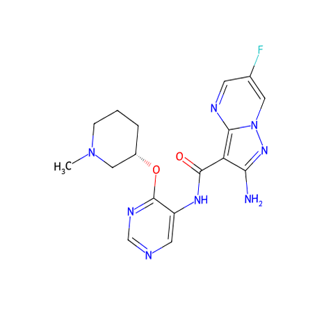 CN1CCC[C@H](Oc2ncncc2NC(=O)c2c(N)nn3cc(F)cnc23)C1